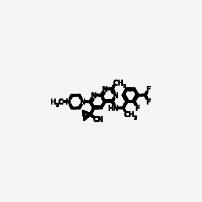 Cc1nc(N[C@H](C)c2cccc(C(F)F)c2F)c2cc(C3(C#N)CC3)c(N3CCN(C)CC3)nc2n1